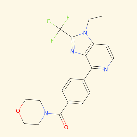 CCn1c(C(F)(F)F)nc2c(-c3ccc(C(=O)N4CCOCC4)cc3)nccc21